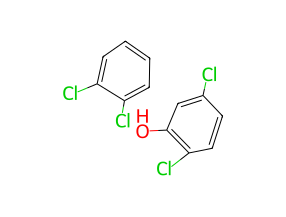 Clc1ccccc1Cl.Oc1cc(Cl)ccc1Cl